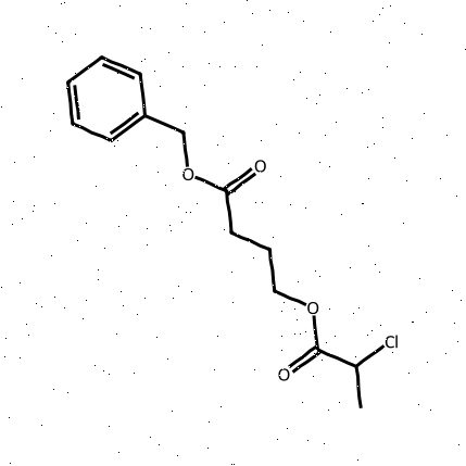 CC(Cl)C(=O)OCCCC(=O)OCc1ccccc1